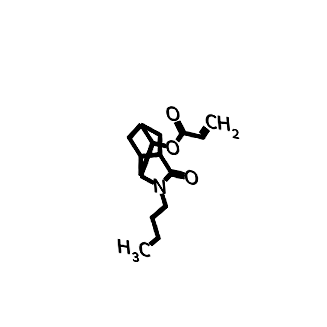 C=CC(=O)OC1C2CC3C(=O)N(CCCC)C1C3C2